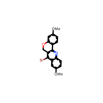 COc1ccc2c(c1)OCc1c-2nc2ccc(OC)cc2c1Br